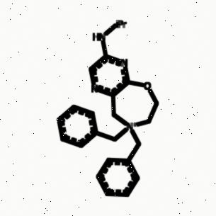 CC(C)Nc1cnc2c(n1)OCC[N+](Cc1ccccc1)(Cc1ccccc1)C2